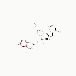 CCOC(=O)[C@H](C)N[C@H](OCC(C#N)(OC)[C@H]1OC(OCC)O[C@H]1c1ccc2c(N)ncnn12)Oc1ccccc1